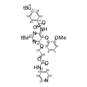 COc1ccccc1Oc1c(NS(=O)(=O)c2ccc(C(C)(C)C)cc2)nc(C(C)(C)C)nc1OCCOC(=O)Nc1ccncc1